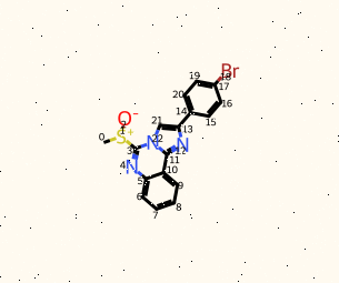 C[S+]([O-])c1nc2ccccc2c2nc(-c3ccc(Br)cc3)cn12